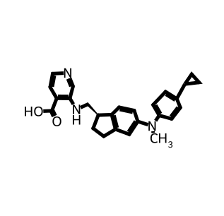 CN(c1ccc(C2CC2)cc1)c1ccc2c(c1)CC[C@H]2CNc1cnccc1C(=O)O